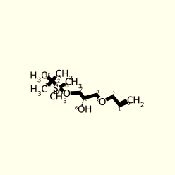 C=CCOC[C@H](O)CO[Si](C)(C)C(C)(C)C